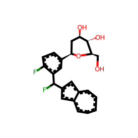 OC[C@H]1O[C@@H](c2ccc(F)c(C(F)c3cc4cccccc-4c3)c2)C[C@@H](O)[C@@H]1O